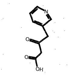 O=C(O)CC(=O)Cc1cccnc1